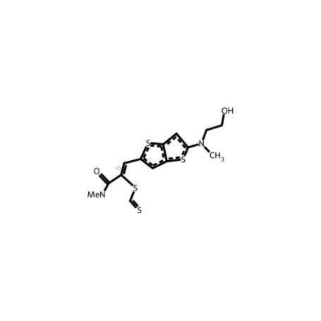 CNC(=O)/C(=C/c1cc2sc(N(C)CCO)cc2s1)SC=S